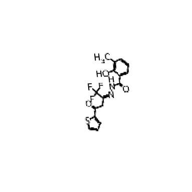 Cc1cccc(C(=O)N/N=C(/CC(=O)c2cccs2)C(F)(F)F)c1O